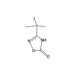 CC(C)(I)c1noc(=O)[nH]1